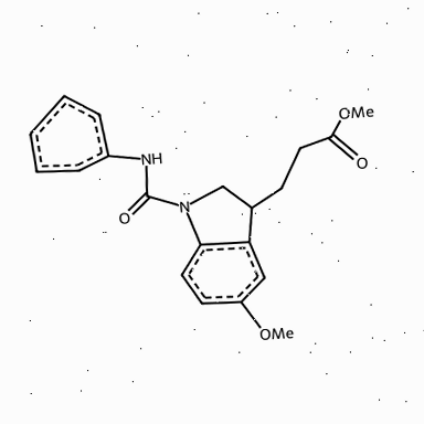 COC(=O)CCC1CN(C(=O)Nc2ccccc2)c2ccc(OC)cc21